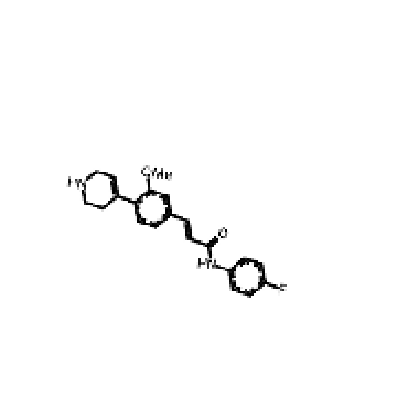 COc1cc(/C=C/C(=O)Nc2ccc(F)cc2)ccc1C1=CCNCC1